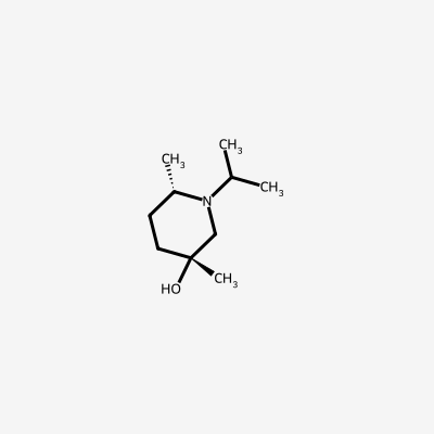 CC(C)N1C[C@](C)(O)CC[C@@H]1C